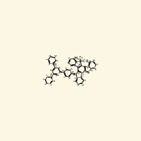 CC1(C)c2ccccc2-c2c1c1c3ccccc3sc1c1c3ccccc3n(-c3ccc(-c4cc(-c5ccccc5)cc(-c5ccccc5)n4)cc3)c21